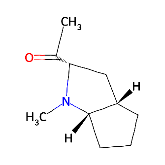 CC(=O)[C@@H]1C[C@@H]2CCC[C@@H]2N1C